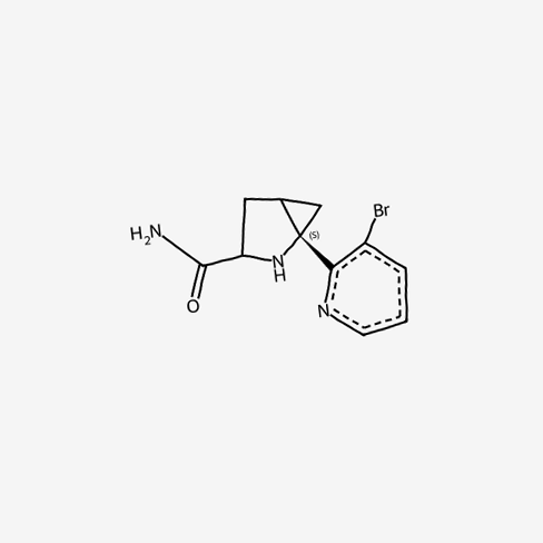 NC(=O)C1CC2C[C@]2(c2ncccc2Br)N1